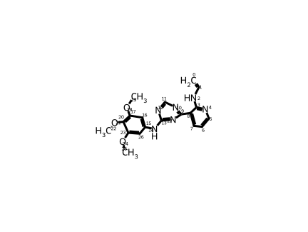 C=CNc1ncccc1-c1ncnc(Nc2cc(OC)c(OC)c(OC)c2)n1